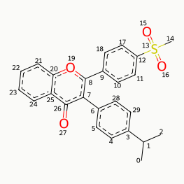 CC(C)c1ccc(-c2c(-c3ccc(S(C)(=O)=O)cc3)oc3ccccc3c2=O)cc1